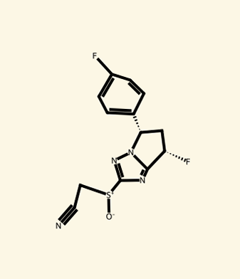 N#CC[S+]([O-])c1nc2n(n1)[C@H](c1ccc(F)cc1)C[C@@H]2F